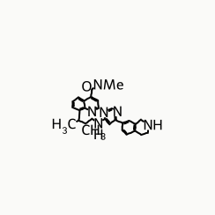 CNC(=O)c1ccnc2c(C(C)[C@H](C)CNc3cc(-c4ccc5c(c4)CNCC5)ncn3)cccc12